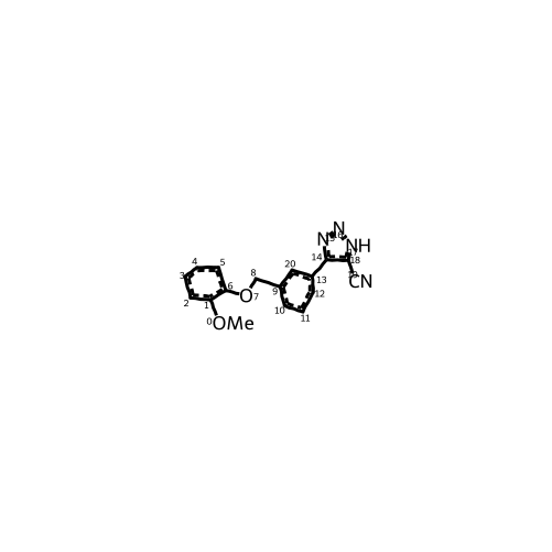 COc1ccccc1OCc1cccc(-c2nn[nH]c2C#N)c1